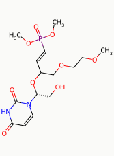 COCCOCC(/C=C/P(=O)(OC)OC)O[C@H](CO)n1ccc(=O)[nH]c1=O